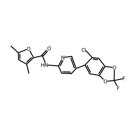 Cc1cc(C)c(C(=O)Nc2ccc(-c3cc4c(cc3Cl)OC(F)(F)O4)cn2)o1